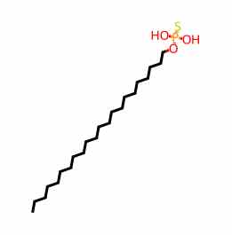 CCCCCCCCCCCCCCCCCCCCCCOP(O)(O)=S